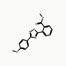 COC(=O)c1ccccc1-c1nc(-c2ccc(OC)cc2)no1